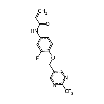 C=CC(=O)Nc1ccc(OCc2cnc(C(F)(F)F)nc2)c(F)c1